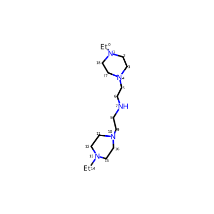 CCN1CCN(CCNCCN2CCN(CC)CC2)CC1